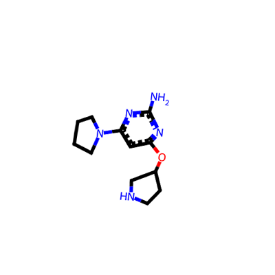 Nc1nc(OC2CCNC2)cc(N2CCCC2)n1